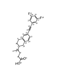 CN(CCC(=O)O)C1CCc2cc(C#Cc3cc(F)cc(F)c3)ccc2C1